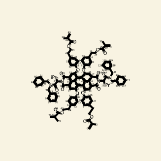 C=C(C)C(=O)OCCc1ccc(Oc2cc3c4c(cc(Oc5ccc(CCOC(=O)C(=C)C)cc5)c5c6c(Oc7ccc(CCOC(=O)C(=C)C)cc7)cc7c8c(cc(Oc9ccc(CCOC(=O)C(=C)C)cc9)c(c2c45)c86)C(=O)N(C(C(=O)N(Cc2ccccc2)Cc2ccccc2)C(C)C)C7=O)C(=O)N(C(C(=O)N(Cc2ccccc2)Cc2ccccc2)C(C)C)C3=O)cc1